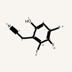 N#CCc1c(O)cc(F)c(F)c1F